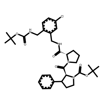 CC(C)(C)OC(=O)NCc1ccc(Cl)cc1CNC(=O)[C@@H]1CCCN1C(=O)[C@@H]1C(c2ccccc2)CCN1C(=O)OC(C)(C)C